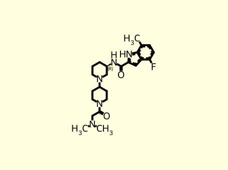 Cc1ccc(F)c2cc(C(=O)N[C@@H]3CCCN(C4CCN(C(=O)CN(C)C)CC4)C3)[nH]c12